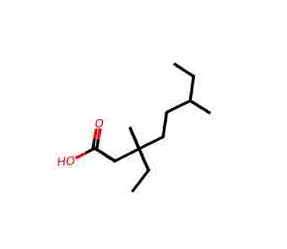 CCC(C)CCC(C)(CC)CC(=O)O